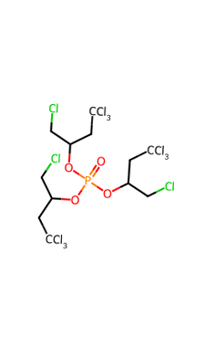 O=P(OC(CCl)CC(Cl)(Cl)Cl)(OC(CCl)CC(Cl)(Cl)Cl)OC(CCl)CC(Cl)(Cl)Cl